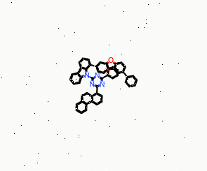 c1ccc(-c2ccc3oc4cc(-c5cccc6c7ccccc7n(-c7nc(-c8ccccc8)nc(-c8cccc9c8ccc8ccccc89)n7)c56)ccc4c3c2)cc1